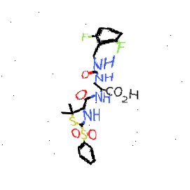 CC1(C)SC(S(=O)(=O)c2ccccc2)NC1C(=O)NC(CNC(=O)NCc1c(F)cccc1F)C(=O)O